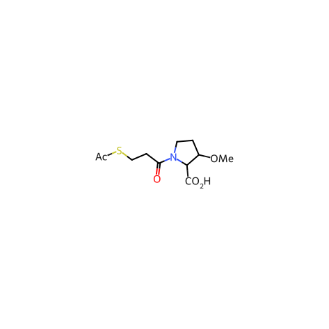 COC1CCN(C(=O)CCSC(C)=O)C1C(=O)O